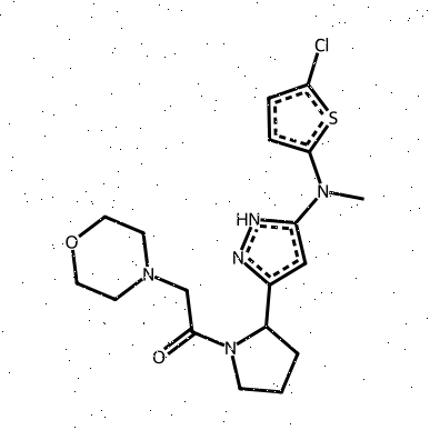 CN(c1cc(C2CCCN2C(=O)CN2CCOCC2)n[nH]1)c1ccc(Cl)s1